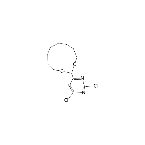 Clc1nc(Cl)nc(C2CCCCCCCCCC2)n1